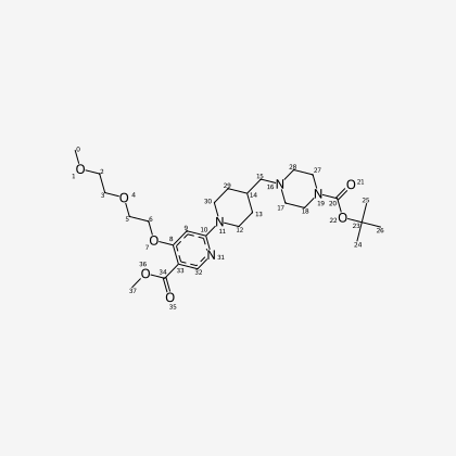 COCCOCCOc1cc(N2CCC(CN3CCN(C(=O)OC(C)(C)C)CC3)CC2)ncc1C(=O)OC